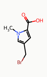 Cn1cc(CBr)cc1C(=O)O